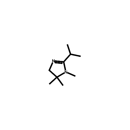 CC(C)C1=NCC(C)(C)N1C